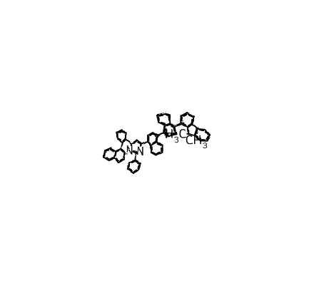 CC1(C)c2ccccc2-c2cccc(-c3ccc(-c4ccc(-c5cc(-c6ccccc6-c6cccc7ccccc67)nc(-c6ccccc6)n5)c5ccccc45)c4ccccc34)c21